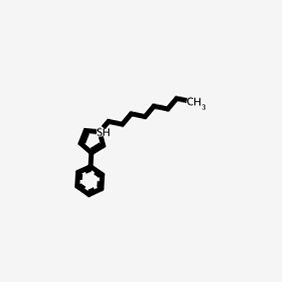 CCCCCCCC[SH]1C=CC(c2ccccc2)=C1